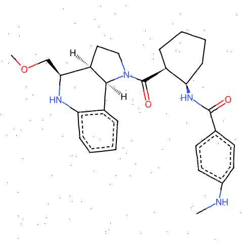 CNc1ccc(C(=O)N[C@@H]2CCCC[C@@H]2C(=O)N2CC[C@@H]3[C@H](COC)Nc4ccccc4[C@@H]32)cc1